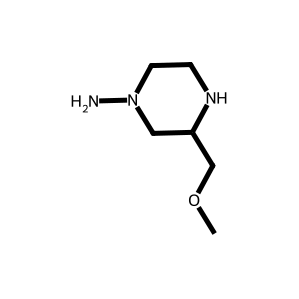 COCC1CN(N)CCN1